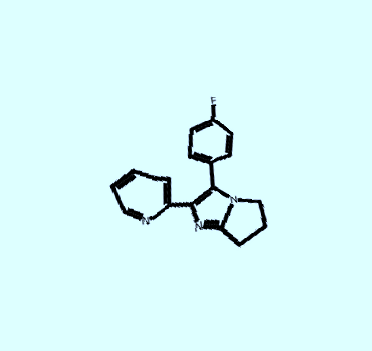 Fc1ccc(-c2c(-c3ccccn3)nc3n2CCC3)cc1